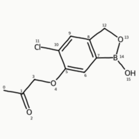 CC(=O)COc1cc2c(cc1Cl)COB2O